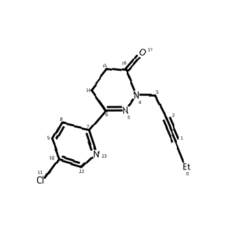 CCC#CCN1N=C(c2ccc(Cl)cn2)CCC1=O